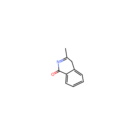 CC1=NC(=O)c2ccccc2C1